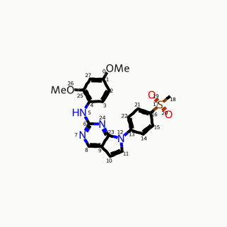 COc1ccc(Nc2ncc3ccn(-c4ccc(S(C)(=O)=O)cc4)c3n2)c(OC)c1